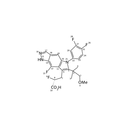 COCC(C)(C)c1c(C[C@@H](F)C(=O)O)c2c(F)c3[nH]ncc3cc2n1-c1ccc(F)c(F)c1